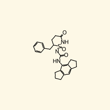 O=C1CCC(Cc2ccccc2)S(=O)(=NC(=O)Nc2c3c(cc4c2CCC4)CCC3)N1